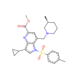 COC(=O)c1cc(CN2CCC[C@H](C)C2)c2c(n1)c(C1CC1)cn2S(=O)(=O)c1ccc(C)cc1